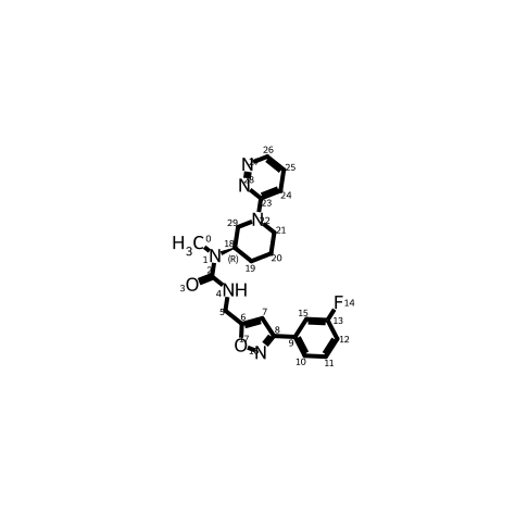 CN(C(=O)NCc1cc(-c2cccc(F)c2)no1)[C@@H]1CCCN(c2cccnn2)C1